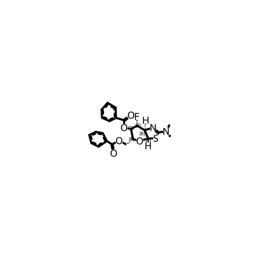 CN(C)C1=N[C@@H]2[C@@H](F)[C@H](OC(=O)c3ccccc3)[C@@H](COC(=O)c3ccccc3)O[C@@H]2S1